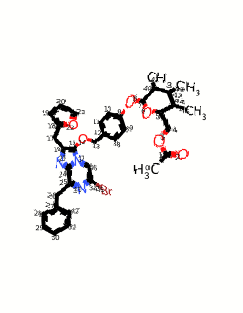 CC(=O)OCC1OC(Oc2ccc(COc3c(Cc4ccco4)nc4c(Cc5ccccc5)nc(Br)cn34)cc2)C(C)C(C)C1C